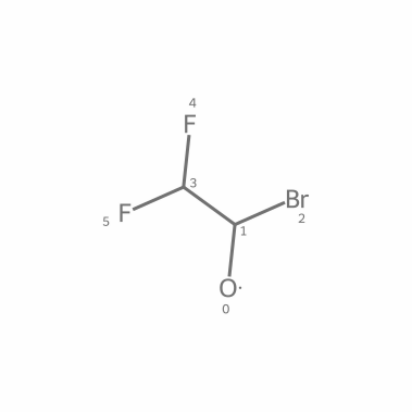 [O]C(Br)C(F)F